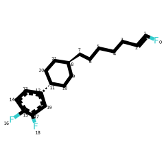 FC=CCCCCC[C@H]1CC[C@H](c2ccc(F)c(F)c2)CC1